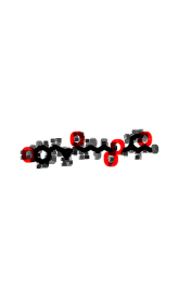 CC1CC(COC(=O)CCCCC(=O)[C@@H]2CC2CC2CCC3OC3C2)CCO1